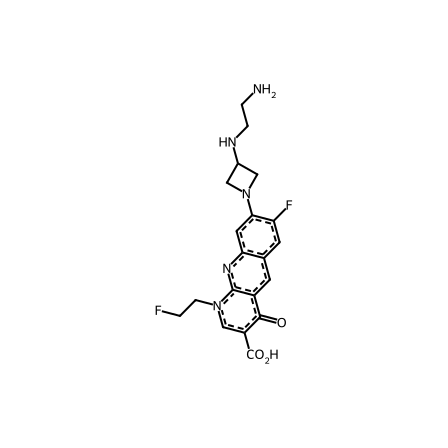 NCCNC1CN(c2cc3nc4c(cc3cc2F)c(=O)c(C(=O)O)cn4CCF)C1